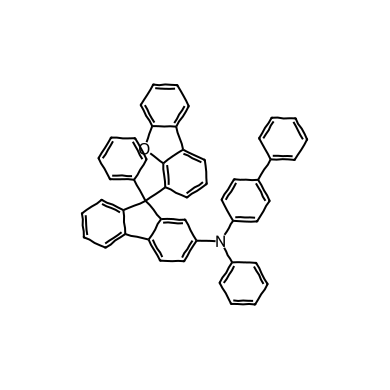 c1ccc(-c2ccc(N(c3ccccc3)c3ccc4c(c3)C(c3ccccc3)(c3cccc5c3oc3ccccc35)c3ccccc3-4)cc2)cc1